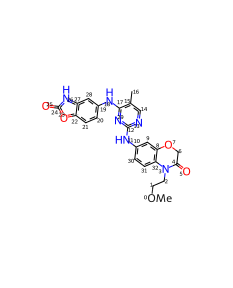 COCCN1C(=O)COc2cc(Nc3ncc(C)c(Nc4ccc5oc(=O)[nH]c5c4)n3)ccc21